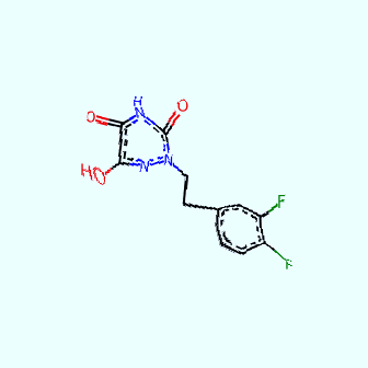 O=c1[nH]c(=O)n(CCc2ccc(F)c(F)c2)nc1O